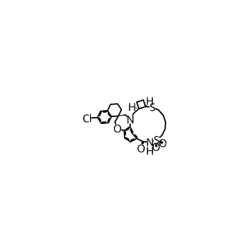 O=C1NS(=O)(=O)CCCCCS[C@H]2CC[C@@H]2CN2C[C@@]3(CCCc4cc(Cl)ccc43)COc3ccc1cc32